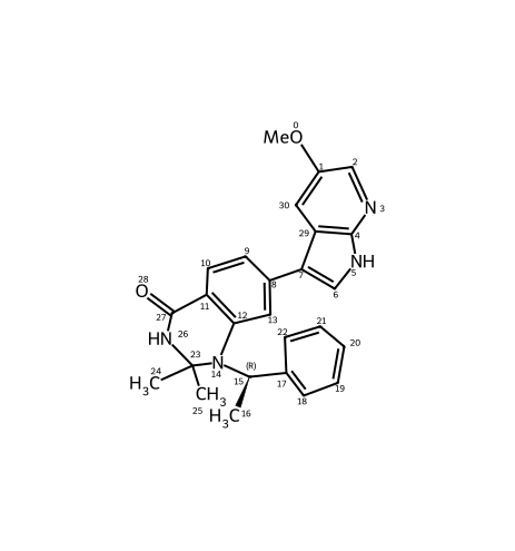 COc1cnc2[nH]cc(-c3ccc4c(c3)N([C@H](C)c3ccccc3)C(C)(C)NC4=O)c2c1